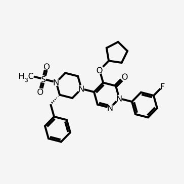 CS(=O)(=O)N1CCN(c2cnn(-c3cccc(F)c3)c(=O)c2OC2CCCC2)C[C@@H]1Cc1ccccc1